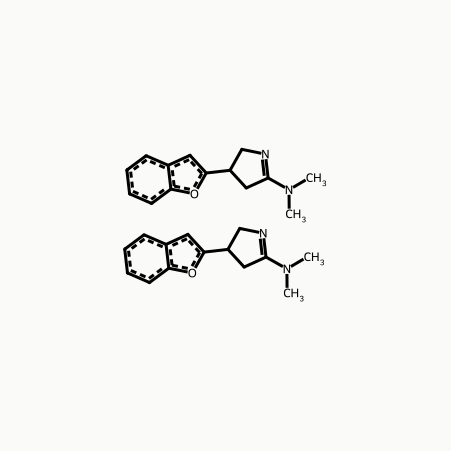 CN(C)C1=NCC(c2cc3ccccc3o2)C1.CN(C)C1=NCC(c2cc3ccccc3o2)C1